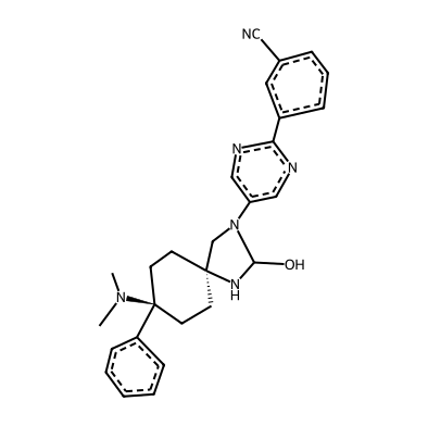 CN(C)[C@]1(c2ccccc2)CC[C@]2(CC1)CN(c1cnc(-c3cccc(C#N)c3)nc1)C(O)N2